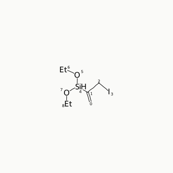 C=C(CI)[SiH](OCC)OCC